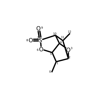 CC1C2OC3C1OS(=O)(=O)C3C2C